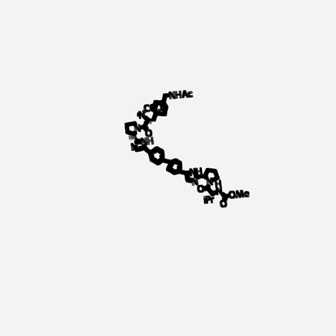 COC(=O)N[C@H](C(=O)N1CCCC1c1ncc(-c2ccc(-c3ccc(-c4cnc([C@@H]5CCCN5C(=O)[C@H](Cc5ccc(CNC(C)=O)cc5)N(C)C(=O)O)[nH]4)cc3)cc2)[nH]1)C(C)C